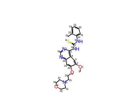 COc1cc2c(NC(=S)Nc3ccccc3C)ncnc2cc1OCCN1CCOCC1